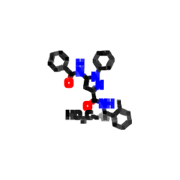 Cc1ccccc1[C@H](CC(=O)O)NC(=O)c1cc(NC(=O)c2ccccc2)n(-c2ccccc2)n1